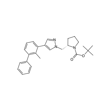 Cc1c(-c2ccccc2)cccc1-c1cnn(C[C@@H]2CCCN2C(=O)OC(C)(C)C)c1